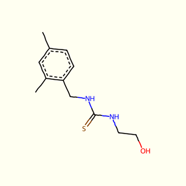 Cc1ccc(CNC(=S)NCCO)c(C)c1